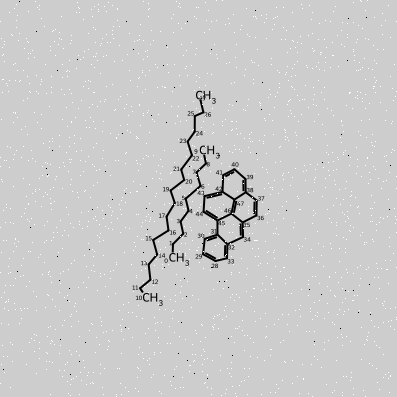 CCCCCCCCCC.CCCCCCCCCCCCCCCCCC.c1ccc2c(c1)cc1ccc3cccc4ccc2c1c34